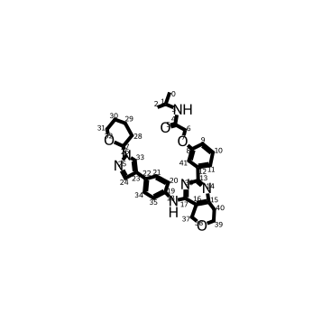 CC(C)NC(=O)COc1cccc(-c2nc3c(c(Nc4ccc(-c5cnn(C6CCCCO6)c5)cc4)n2)COCC3)c1